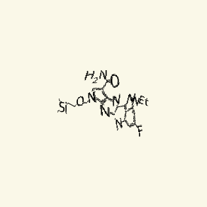 CCn1nc(-c2cnc3c(n2)c(C(N)=O)cn3COCC[Si](C)(C)C)c2c(N(C)C)cc(F)cc21